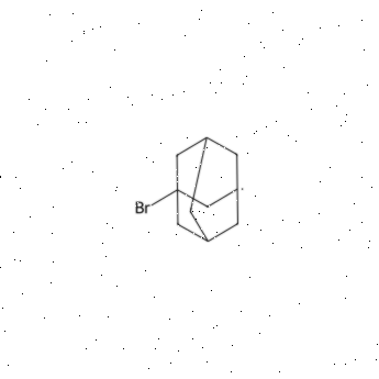 BrC12C[C]3CC(CC(C3)C1)C2